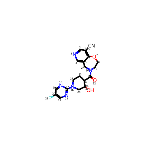 N#Cc1cncc2c1OCCN(C(=O)C1CCN(c3ncc(F)cn3)CC1O)C2